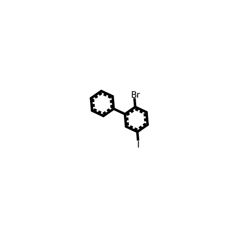 Brc1ccc(I)cc1-c1ccccc1